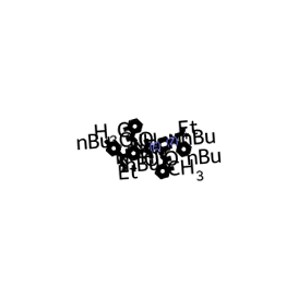 CCCCc1ccc(N(CC(CC)CCCC)c2ccc(C3=C([O-])/C(=C4C=C/C(=[N+](\CC(CC)CCCC)c5ccc(CCCC)cc5)C=C/4NC(=O)c4ccccc4C)C3=O)c(NC(=O)c3ccccc3C)c2)cc1